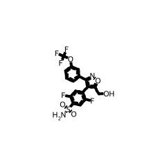 NS(=O)(=O)c1cc(F)c(-c2c(-c3cccc(OC(F)(F)F)c3)noc2CO)cc1F